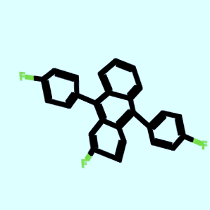 Fc1ccc(-c2c3ccccc3c(-c3ccc(F)cc3)c3cc(F)ccc23)cc1